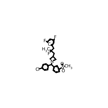 CC(F)(Cc1cc(F)cc(F)c1)CC1CN(C(c2ccc(Cl)cc2)c2cccc(S(C)(=O)=O)c2)C1